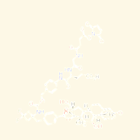 C[C@]12C=CC(=O)C=C1CC[C@@H]1[C@@H]2[C@@H](O)C[C@@]2(C)[C@H]1C[C@H]1OC(c3ccc(CC4(NC(=O)OCc5ccc(NC(=O)[C@H](CCC(=O)O)NC(=O)CNC(=O)CCC(=O)ON6C(=O)C=CC6=O)cc5)CC(F)(F)C4)cc3)O[C@]12C(=O)CO